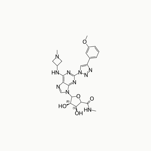 CNC(=O)C1OC(n2cnc3c(NC4CN(C)C4)nc(-n4cc(-c5cccc(OC)c5)nn4)nc32)[C@H](O)[C@@H]1O